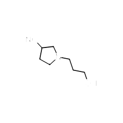 N#CC1CCN(CCCO)C1